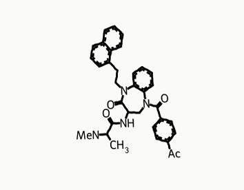 CNC(C)C(=O)NC1CN(C(=O)c2ccc(C(C)=O)cc2)c2ccccc2N(CCc2cccc3ccccc23)C1=O